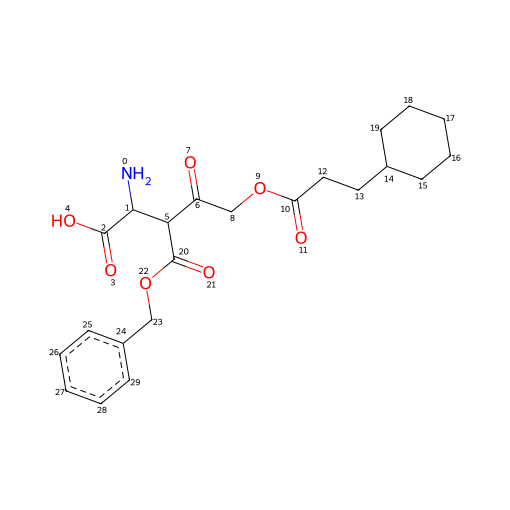 NC(C(=O)O)C(C(=O)COC(=O)CCC1CCCCC1)C(=O)OCc1ccccc1